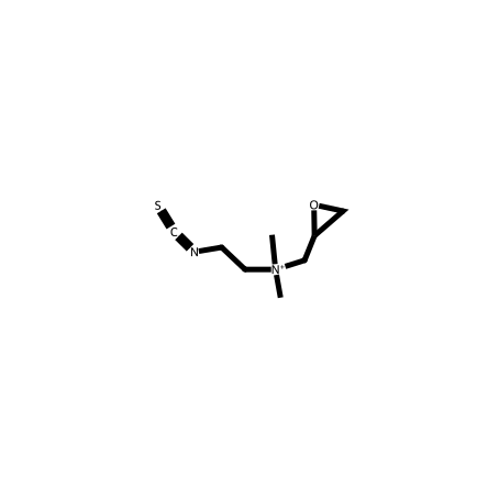 C[N+](C)(CCN=C=S)CC1CO1